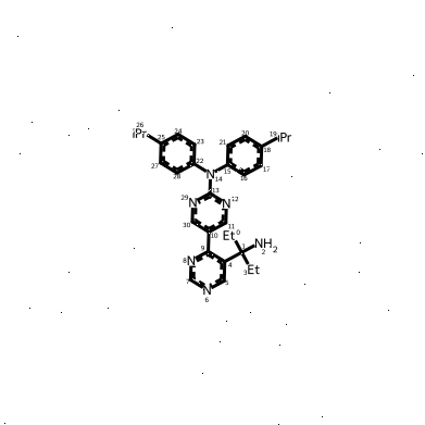 CCC(N)(CC)c1cncnc1-c1cnc(N(c2ccc(C(C)C)cc2)c2ccc(C(C)C)cc2)nc1